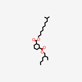 CCCCC(CC)COC(=O)C1CCCC(C(=O)OCCCCCCCCC(C)C)C1